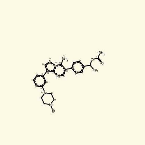 CCCC(OC(N)=O)c1ccc(-c2cnc3c(-c4cccc(N5CCN(CC)CC5)c4)cnn3c2N)cc1